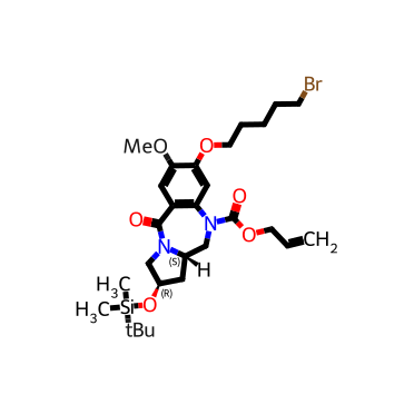 C=CCOC(=O)N1C[C@@H]2C[C@@H](O[Si](C)(C)C(C)(C)C)CN2C(=O)c2cc(OC)c(OCCCCCBr)cc21